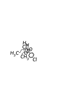 CCCC(C)(CCC)NS(=O)(=O)c1ccc(Cl)cc1